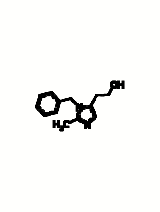 Cc1ncc(CCO)n1Cc1ccccc1